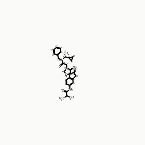 CC(O)C(=O)Nc1ccc2c(c1)CC(=O)C21OCN(CC(=O)N(Cc2ccccc2)[C@@H](C)C2CC2)C1=O